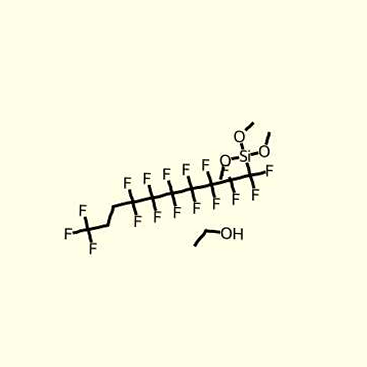 CCO.CO[Si](OC)(OC)C(F)(F)C(F)(F)C(F)(F)C(F)(F)C(F)(F)C(F)(F)C(F)(F)CCC(F)(F)F